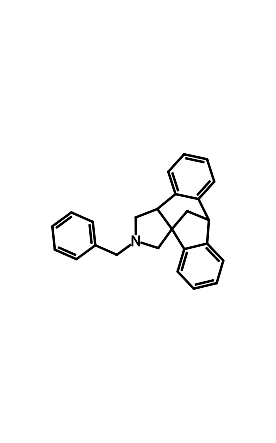 c1ccc(CN2CC3c4ccccc4C4CC3(C2)c2ccccc24)cc1